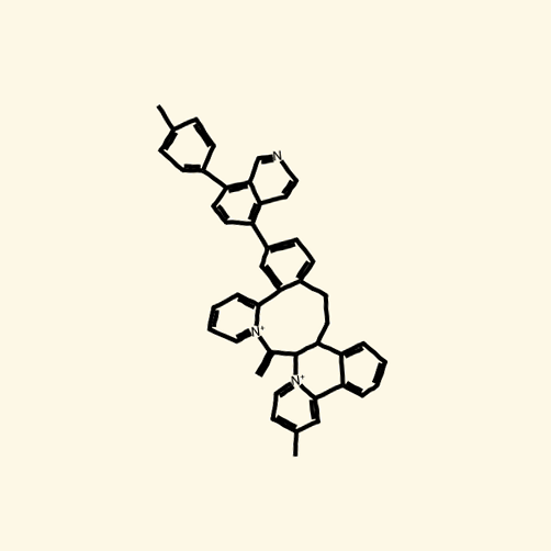 C=C1C2C(CCc3ccc(-c4ccc(-c5ccc(C)cc5)c5cnccc45)cc3-c3cccc[n+]31)c1ccccc1-c1cc(C)cc[n+]12